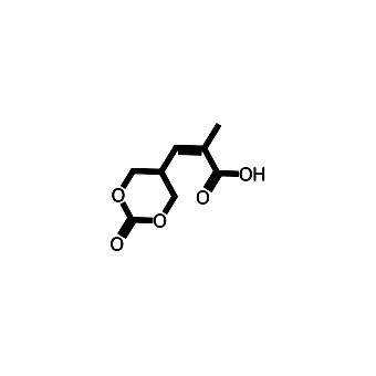 CC(=CC1COC(=O)OC1)C(=O)O